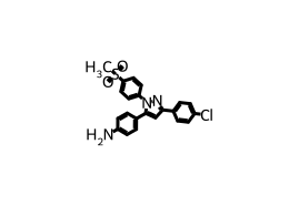 CS(=O)(=O)c1ccc(-n2nc(-c3ccc(Cl)cc3)cc2-c2ccc(N)cc2)cc1